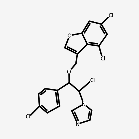 Clc1ccc(C(OCc2coc3cc(Cl)cc(Cl)c23)C(Cl)n2ccnc2)cc1